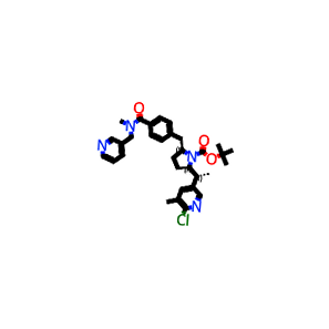 Cc1cc([C@@H](C)[C@H]2CC[C@@H](Cc3ccc(C(=O)N(C)Cc4cccnc4)cc3)N2C(=O)OC(C)(C)C)cnc1Cl